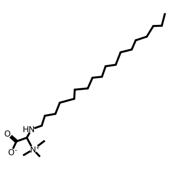 CCCCCCCCCCCCCCCCCCNC(C(=O)[O-])[N+](C)(C)C